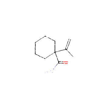 C=C(C)C1(C(N)=O)CCCCC1